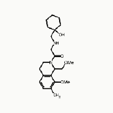 COCC1c2c(ccc(C)c2OC)CCN1C(=O)CNCC1(O)CCCCC1